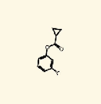 O=C(Oc1cccc(Cl)c1)C1CC1